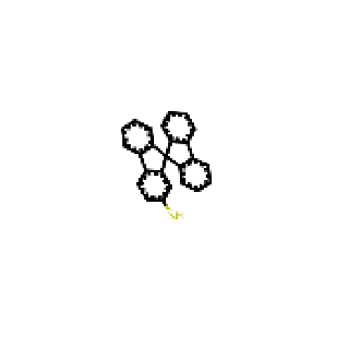 Sc1ccc2c(c1)C1(c3ccccc3-c3ccccc31)c1ccccc1-2